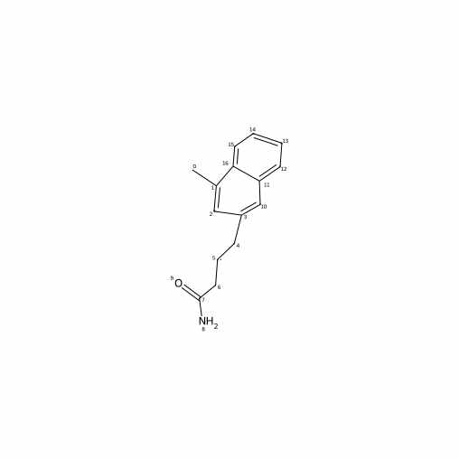 Cc1cc(C[CH]CC(N)=O)cc2ccccc12